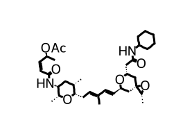 CC(=O)O[C@@H](C)/C=C\C(=O)N[C@@H]1C[C@H](C)[C@H](C/C=C(C)/C=C/[C@@H]2C[C@]3(C[C@@H](CC(=O)NC4CCCCC4)O2)O[C@@H]3C)O[C@@H]1C